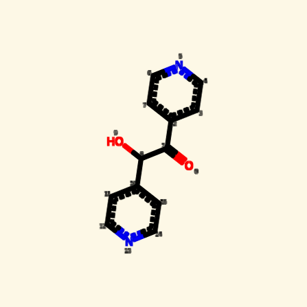 O=C(c1ccncc1)C(O)c1ccncc1